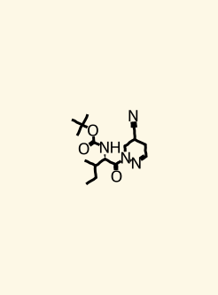 CCC(C)[C@H](NC(=O)OC(C)(C)C)C(=O)N1CC(C#N)CC=N1